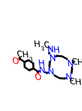 CNCN1CCCN(C)CCN(C)CCCN(CNC(=O)C2CCC(C(C)=O)CC2)CC1